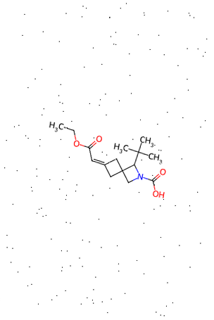 CCOC(=O)C=C1CC2(C1)CN(C(=O)O)C2C(C)(C)C